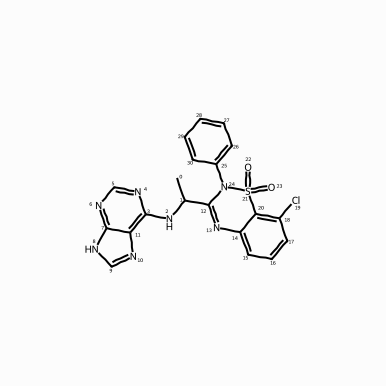 CC(Nc1ncnc2[nH]cnc12)C1=Nc2cccc(Cl)c2S(=O)(=O)N1c1ccccc1